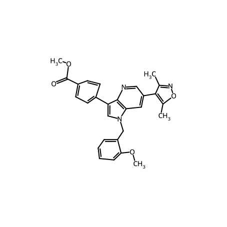 COC(=O)c1ccc(-c2cn(Cc3ccccc3OC)c3cc(-c4c(C)noc4C)cnc23)cc1